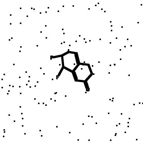 O=C1C=C2C(=CCC(F)C2F)CC1